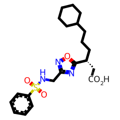 O=C(O)C[C@@H](CCCC1CCCCC1)c1nc(CNS(=O)(=O)c2ccccc2)no1